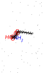 CCCCCCCCCCCCCC(=O)OC(=O)CC[C@H](N)C(=O)OO